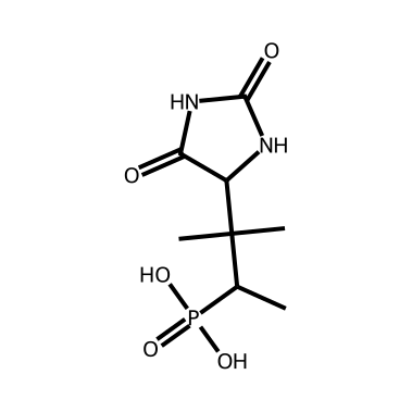 CC(C(C)(C)C1NC(=O)NC1=O)P(=O)(O)O